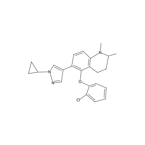 CC1CCc2c(ccc(-c3cnn(C4CC4)c3)c2Oc2ccccc2Cl)N1C